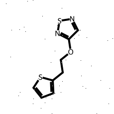 [c]1nsnc1OCCc1cccs1